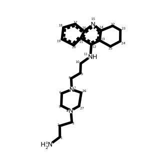 NCCCN1CCN(CCCNc2c3c(nc4ccccc24)CCCC3)CC1